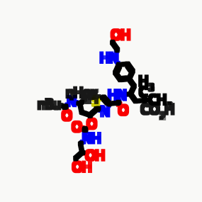 CCCCCCN(C(=O)CCCC)C(CC(OC(=O)NCC(O)CO)c1nc(C(=O)NC(Cc2ccc(NCCO)cc2)CC(C)(C)C(=O)O)cs1)C(C)C